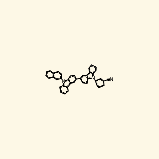 N#Cc1cccc(-n2c3ccccc3c3cc(-c4ccc5c(c4)c4ccccc4n5-c4ccc5ccccc5c4)ccc32)c1